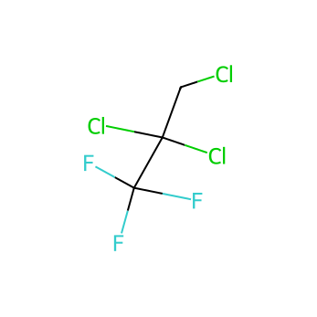 FC(F)(F)C(Cl)(Cl)CCl